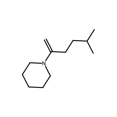 C=C(CCC(C)C)N1CCCCC1